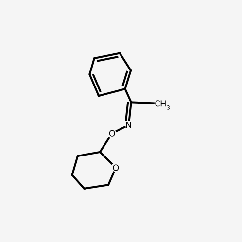 CC(=NOC1CCCCO1)c1ccccc1